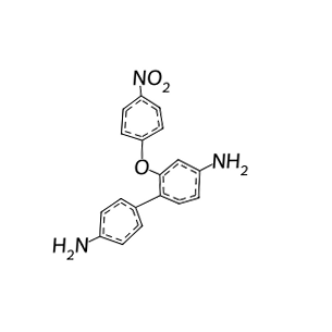 Nc1ccc(-c2ccc(N)cc2Oc2ccc([N+](=O)[O-])cc2)cc1